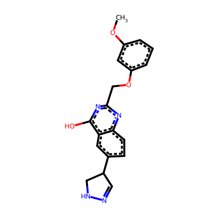 COc1cccc(OCc2nc(O)c3cc(C4C=NNC4)ccc3n2)c1